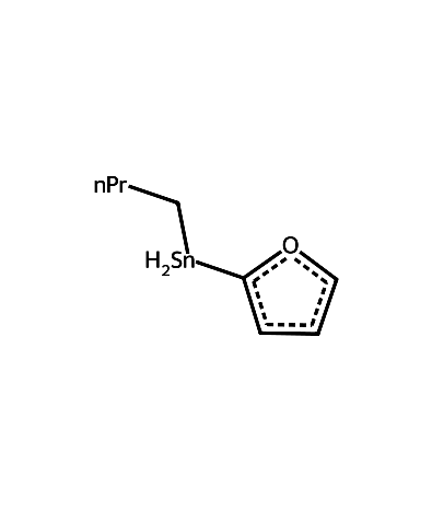 CCC[CH2][SnH2][c]1ccco1